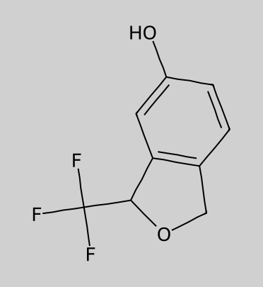 Oc1ccc2c(c1)C(C(F)(F)F)OC2